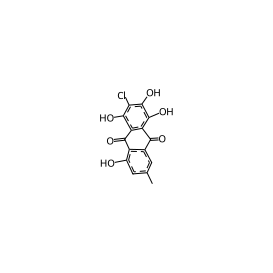 Cc1cc(O)c2c(c1)C(=O)c1c(O)c(O)c(Cl)c(O)c1C2=O